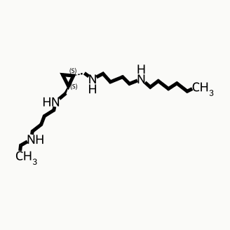 CCCCCCNCCCCNC[C@H]1C[C@@H]1CNCCCCNCC